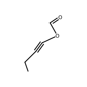 CCC#CO[C]=O